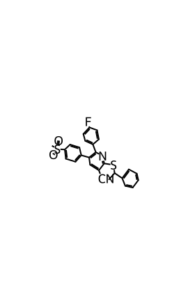 CC(Sc1nc(-c2ccc(F)cc2)c(-c2ccc(S(C)(=O)=O)cc2)cc1C#N)c1ccccc1